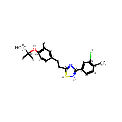 Cc1cc(CCc2nc(-c3ccc(C(F)(F)F)c(Cl)c3)ns2)ccc1OC(C)(C)C(=O)O